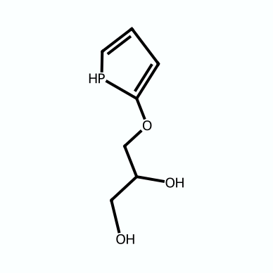 OCC(O)COc1ccc[pH]1